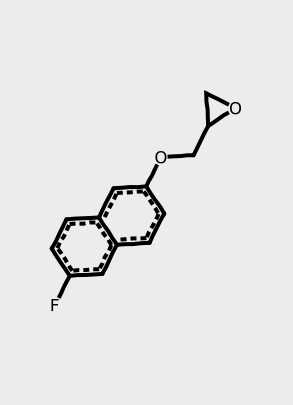 Fc1ccc2cc(OCC3CO3)ccc2c1